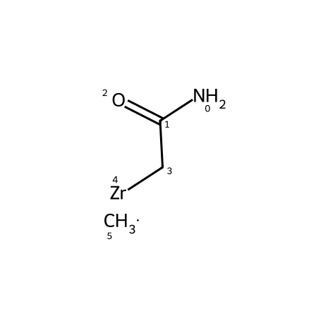 NC(=O)[CH2][Zr].[CH3]